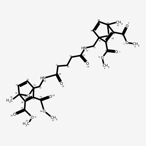 COC(=O)C1=C(C(=O)OC)C2(CNC(=O)CCCC(=O)NCC34C=CC(C)(O3)C(C(=O)OC)=C4C(=O)OC)C=CC1(C)O2